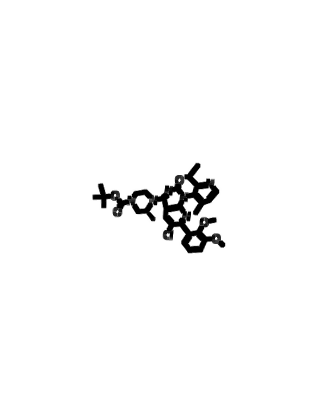 COc1cccc(-c2nc3c(cc2Cl)c(N2CCN(C(=O)OC(C)(C)C)C[C@@H]2C)nc(=O)n3-c2c(C)ccnc2C(C)C)c1OC